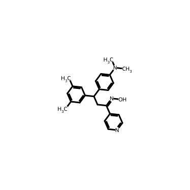 Cc1cc(C)cc(C(CC(=NO)c2ccncc2)c2ccc(N(C)C)cc2)c1